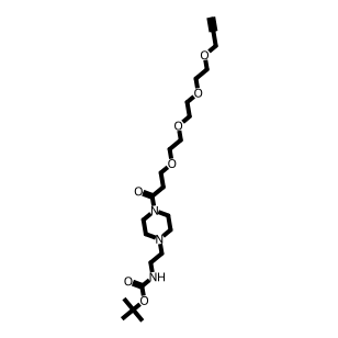 C#CCOCCOCCOCCOCCC(=O)N1CCN(CCNC(=O)OC(C)(C)C)CC1